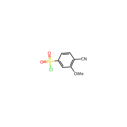 COc1cc(S(=O)(=O)Cl)ccc1C#N